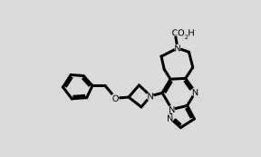 O=C(O)N1CCc2nc3ccnn3c(N3CC(OCc4ccccc4)C3)c2CC1